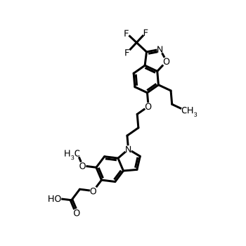 CCCc1c(OCCCn2ccc3cc(OCC(=O)O)c(OC)cc32)ccc2c(C(F)(F)F)noc12